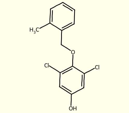 Cc1ccccc1COc1c(Cl)cc(O)cc1Cl